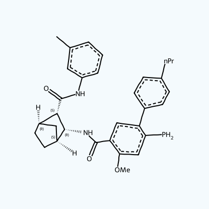 CCCc1ccc(-c2cc(C(=O)N[C@@H]3[C@H]4CC[C@H](C4)[C@@H]3C(=O)Nc3cccc(C)c3)c(OC)cc2P)cc1